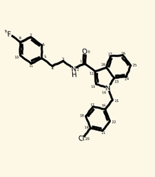 O=C(NCCc1ccc(F)cc1)c1cn(Cc2ccc(Cl)cc2)c2ccccc12